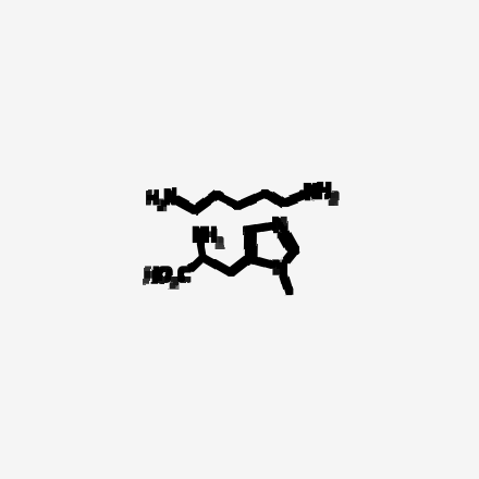 Cn1cncc1CC(N)C(=O)O.NCCCCCN